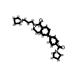 O=C(c1ccc(-c2ccc3c(c2)CCN(CCCN2CCCC2)C3=O)cc1)N1CCCC1